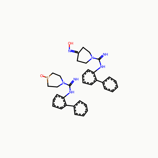 N=C(Nc1ccccc1-c1ccccc1)N1CCC(=NO)CC1.N=C(Nc1ccccc1-c1ccccc1)N1CC[S+]([O-])CC1